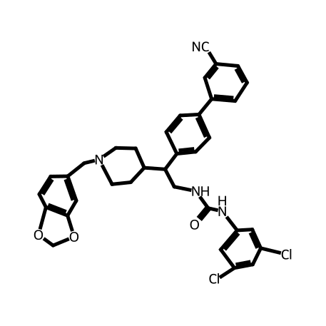 N#Cc1cccc(-c2ccc(C(CNC(=O)Nc3cc(Cl)cc(Cl)c3)C3CCN(Cc4ccc5c(c4)OCO5)CC3)cc2)c1